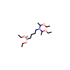 CCOC(C)N(CCCC[SiH](OCC)OCC)C(C)OCC